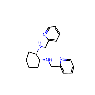 c1ccc(CN[C@H]2CCCC[C@H]2NCc2ccccn2)nc1